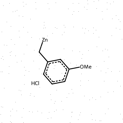 COc1cccc([CH2][Zn])c1.Cl